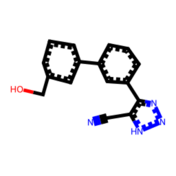 N#Cc1[nH]nnc1-c1cccc(-c2cccc(CO)c2)c1